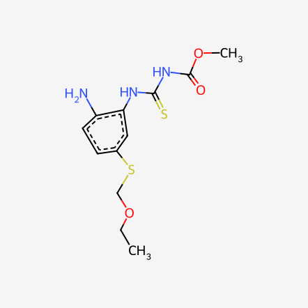 CCOCSc1ccc(N)c(NC(=S)NC(=O)OC)c1